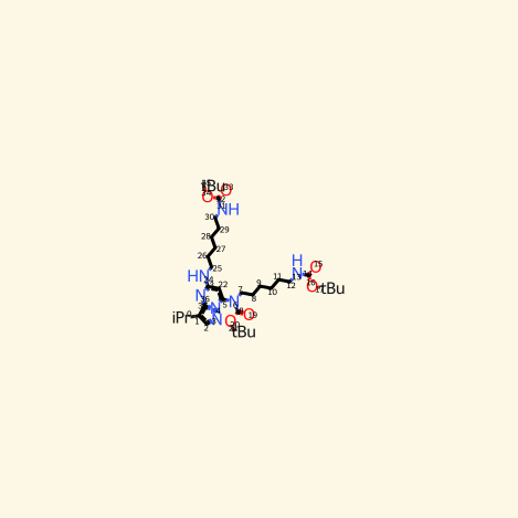 CC(C)c1cnn2c(N(CCCCCCNC(=O)OC(C)(C)C)C(=O)OC(C)(C)C)cc(NCCCCCCNC(=O)OC(C)(C)C)nc12